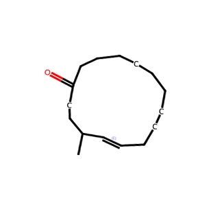 CC1/C=C/CCCCCCCCCC(=O)CC1